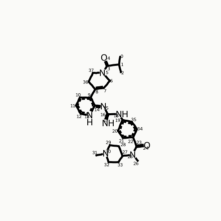 CC(C)C(=O)N1CC=C(c2ccc[nH]/c2=N\C(=N)Nc2ccc(C(=O)N(C)C3CCN(C)CC3)cc2)CC1